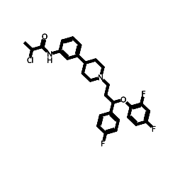 CC(Cl)C(=O)Nc1cccc(C2CCN(CCC(Oc3ccc(F)cc3F)c3ccc(F)cc3)CC2)c1